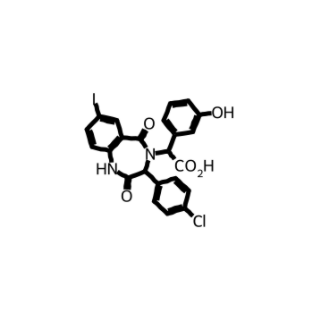 O=C(O)C(c1cccc(O)c1)N1C(=O)c2cc(I)ccc2NC(=O)C1c1ccc(Cl)cc1